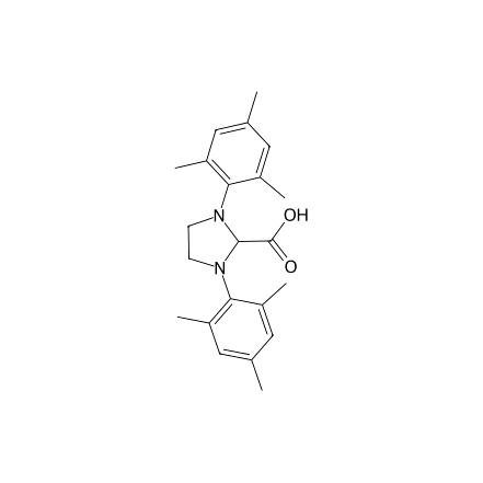 Cc1cc(C)c(N2CCN(c3c(C)cc(C)cc3C)C2C(=O)O)c(C)c1